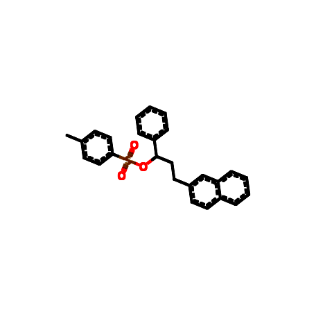 Cc1ccc(S(=O)(=O)OC(CCc2ccc3ccccc3c2)c2ccccc2)cc1